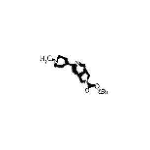 CN1CC=C(c2cc3c(cn2)CN(C(=O)OC(C)(C)C)C3)CC1